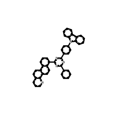 c1ccc(-c2nc(-c3ccc(-n4c5ccccc5c5ccccc54)cc3)nc(-c3cccc4c3ccc3c4ccc4cccnc43)n2)cc1